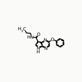 CCCNC(=O)c1c[nH]c2ncc(Oc3ccccc3)nc12